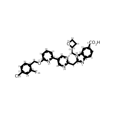 O=C(O)c1ccc2nc(Cc3ncc(-c4cccc(OCc5ccc(Cl)cc5F)n4)cn3)n(C[C@@H]3CCO3)c2c1